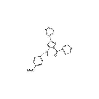 COc1ccc(CNc2cc(-c3cccnc3)nn2C(=O)c2ccccc2)cc1